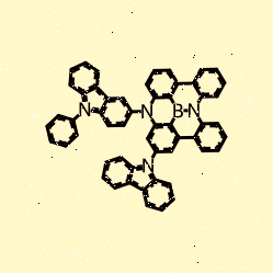 c1ccc(-n2c3ccccc3c3cc(N4c5cccc6c5B5c7c(cc(-n8c9ccccc9c9ccccc98)cc74)-c4ccccc4N5c4ccccc4-6)ccc32)cc1